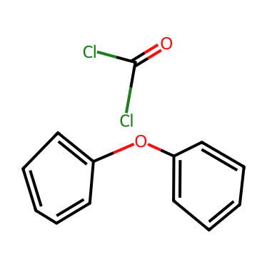 O=C(Cl)Cl.c1ccc(Oc2ccccc2)cc1